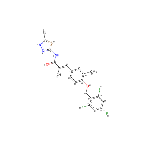 CCc1nnc(NC(=O)/C(C#N)=C/c2ccc(OCc3c(F)cc(F)cc3F)c(OC)c2)s1